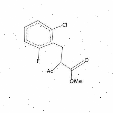 COC(=O)C(Cc1c(F)cccc1Cl)C(C)=O